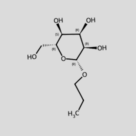 CCCO[C@@H]1O[C@H](CO)[C@@H](O)[C@@H](O)[C@H]1O